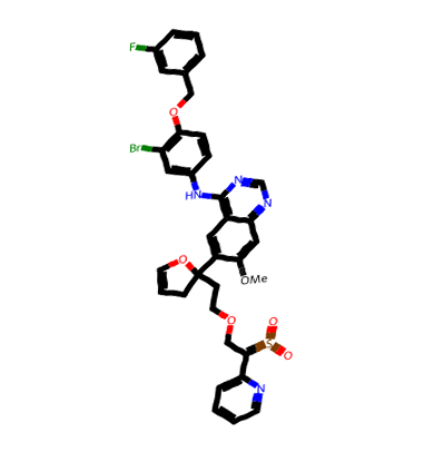 COc1cc2ncnc(Nc3ccc(OCc4cccc(F)c4)c(Br)c3)c2cc1C1(CCOCC(c2ccccn2)=S(=O)=O)CC=CO1